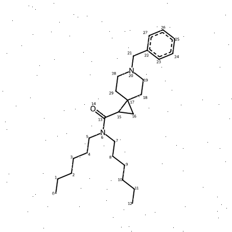 CCCCCCN(CCCCCC)C(=O)C1CC12CCN(Cc1ccccc1)CC2